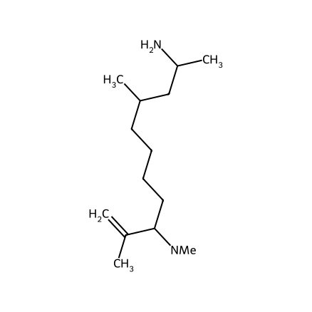 C=C(C)C(CCCCC(C)CC(C)N)NC